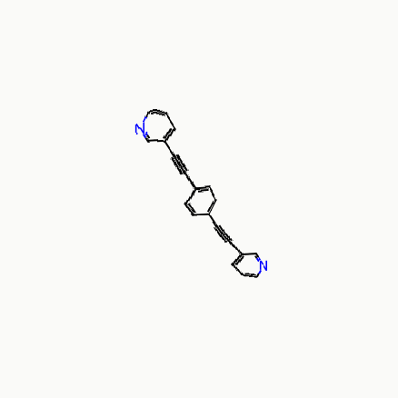 C(#Cc1cccnc1)c1ccc(C#Cc2cccnc2)cc1